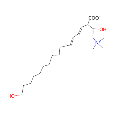 C[N+](C)(C)CC(O)C(C=CC=CCCCCCCCCCCO)C(=O)[O-]